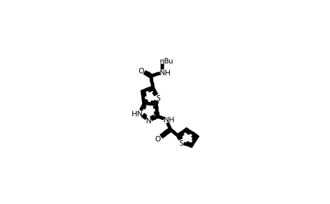 CCCCNC(=O)c1cc2[nH]nc(NC(=O)c3cccs3)c2s1